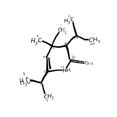 CC(C)C1=CC(C)(C)C(C(C)C)C(=O)N1